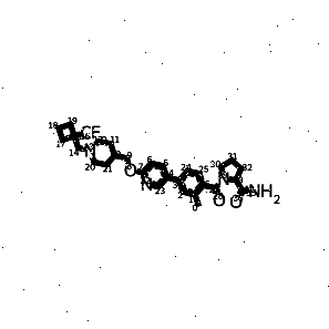 Cc1cc(-c2ccc(OCC3CCN(CC4(C(F)(F)F)CCC4)CC3)nc2)ccc1C(=O)N1CCCC1C(N)=O